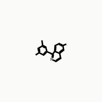 Cc1cc(C)cc(-c2nccc3cc(C)ccc23)c1